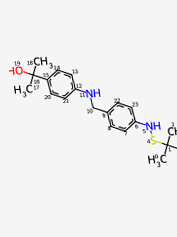 CC(C)(C)SNc1ccc(CNc2ccc(C(C)(C)O)cc2)cc1